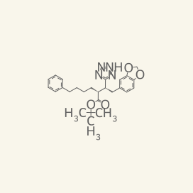 CC(C)(C)OC(=O)[C@@H](CCCCc1ccccc1)[C@H](Cc1ccc2c(c1)OCO2)c1nn[nH]n1